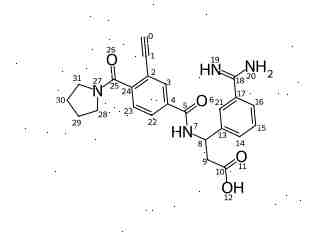 C#Cc1cc(C(=O)NC(CC(=O)O)c2cccc(C(=N)N)c2)ccc1C(=O)N1CCCC1